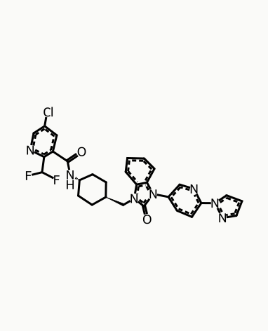 O=C(N[C@H]1CC[C@H](Cn2c(=O)n(-c3ccc(-n4cccn4)nc3)c3ccccc32)CC1)c1cc(Cl)cnc1C(F)F